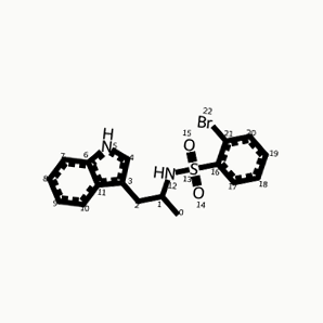 CC(Cc1c[nH]c2ccccc12)NS(=O)(=O)c1ccccc1Br